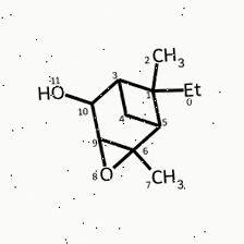 CCC1(C)C2CC1C1(C)OC1C2O